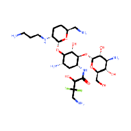 NCCCN[C@@H]1CC[C@@H](CN)O[C@@H]1OC1[C@@H](N)C[C@@H](NC(=O)C(O)C(F)(F)CN)[C@H](O[C@H]2O[C@H](CO)[C@@H](O)[C@H](N)[C@H]2O)[C@H]1O